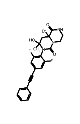 CCC12CC(C)(O)N(c3c(F)cc(C#Cc4ccccc4)cc3F)C(=O)N1CCNC2=O